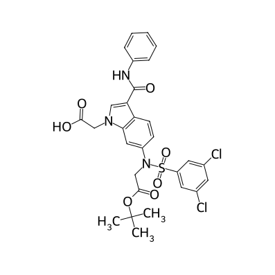 CC(C)(C)OC(=O)CN(c1ccc2c(C(=O)Nc3ccccc3)cn(CC(=O)O)c2c1)S(=O)(=O)c1cc(Cl)cc(Cl)c1